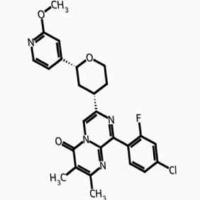 COc1cc([C@H]2C[C@@H](c3cn4c(=O)c(C)c(C)nc4c(-c4ccc(Cl)cc4F)n3)CCO2)ccn1